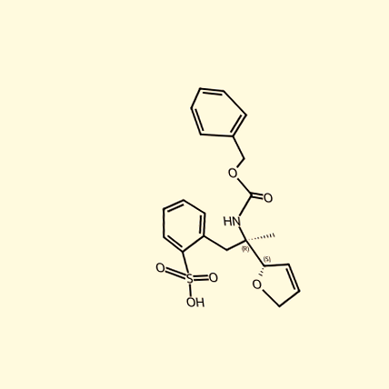 C[C@](Cc1ccccc1S(=O)(=O)O)(NC(=O)OCc1ccccc1)[C@@H]1C=CCO1